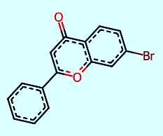 O=c1cc(-c2ccccc2)oc2cc(Br)ccc12